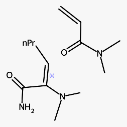 C=CC(=O)N(C)C.CCC/C=C(\C(N)=O)N(C)C